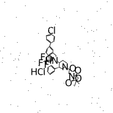 CC1(C)OC(=O)N(CC(=O)N2CC[C@H](NCc3cc(-c4ccc(Cl)cc4)ccc3OC(F)(F)F)[C@H](c3ccccc3)C2)C1=O.Cl